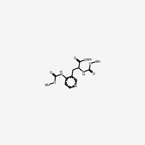 COC(=O)C(Cc1cnccc1NC(=O)OC(C)(C)C)NC(=O)OC(C)(C)C